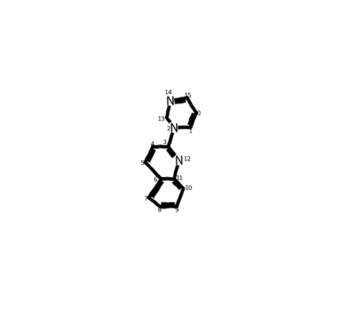 C1=CN(c2ccc3ccccc3n2)CN=C1